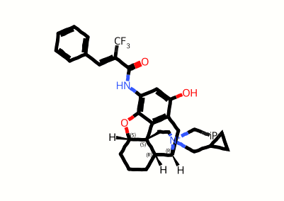 CC(C)C[N+]1(CC2CC2)CC[C@]23c4c5c(O)cc(NC(=O)C(=Cc6ccccc6)C(F)(F)F)c4O[C@H]2CCC[C@H]3[C@H]1C5